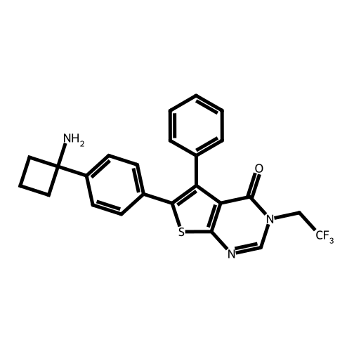 NC1(c2ccc(-c3sc4ncn(CC(F)(F)F)c(=O)c4c3-c3ccccc3)cc2)CCC1